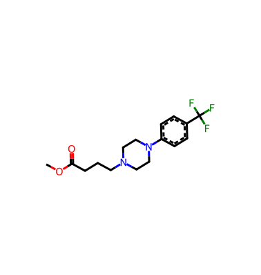 COC(=O)CCCN1CCN(c2ccc(C(F)(F)F)cc2)CC1